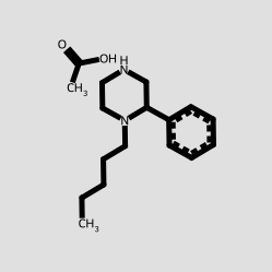 CC(=O)O.CCCCCN1CCNCC1c1ccccc1